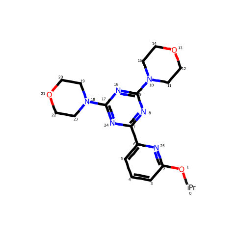 CC(C)Oc1cccc(-c2nc(N3CCOCC3)nc(N3CCOCC3)n2)n1